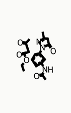 CC(=O)Nc1cccc(N2N=C(C)CC2=O)c1.CCOC(=O)CC(C)=O